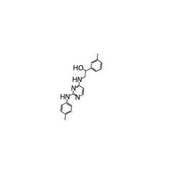 Cc1ccc(Nc2nccc(NCC(O)c3cccc(C)c3)n2)cc1